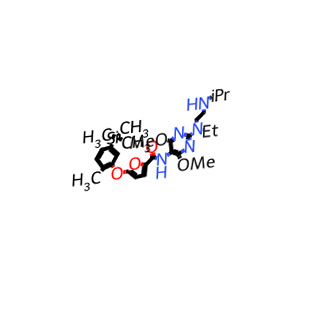 CCN(CCNC(C)C)c1nc(OC)c(NC(=O)c2ccc(Oc3cc([Si](C)(C)C)ccc3C)o2)c(OC)n1